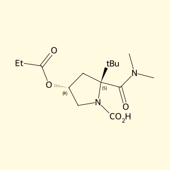 CCC(=O)O[C@H]1CN(C(=O)O)[C@](C(=O)N(C)C)(C(C)(C)C)C1